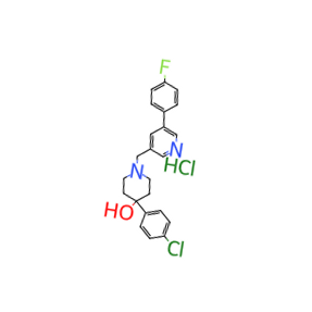 Cl.OC1(c2ccc(Cl)cc2)CCN(Cc2cncc(-c3ccc(F)cc3)c2)CC1